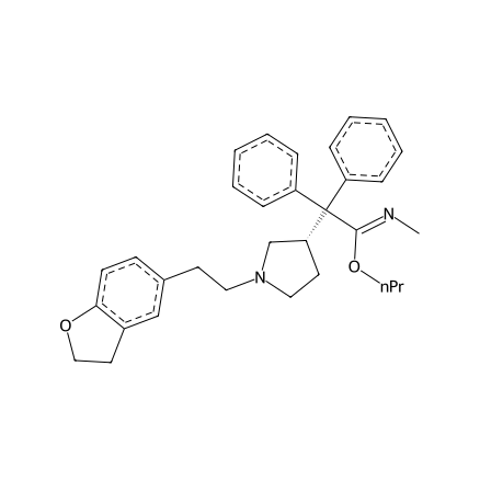 CCCO/C(=N\C)C(c1ccccc1)(c1ccccc1)[C@@H]1CCN(CCc2ccc3c(c2)CCO3)C1